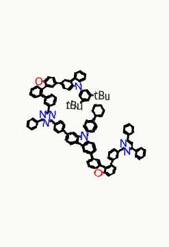 CC(C)(C)c1cc(-n2c3ccccc3c3cc(-c4ccc5oc6cccc(-c7cccc(-c8nc(-c9ccccc9)nc(-c9ccc(-c%10ccc%11c%12cc(-c%13ccc%14oc%15cccc(-c%16cccc(-c%17nc(-c%18ccccc%18)cc(-c%18ccccc%18)n%17)c%16)c%15c%14c%13)ccc%12n(-c%12ccc(C%13CCCCC%13)cc%12)c%11c%10)cc9)n8)c7)c6c5c4)ccc32)cc(C(C)(C)C)c1